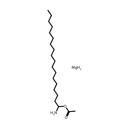 CCCCCCCCCCCCCCCCCC(N)OC(C)=O.[MgH2]